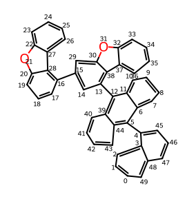 c1ccc2c(-c3c4ccccc4c(-c4cc(-c5cccc6oc7ccccc7c56)cc5oc6ccccc6c45)c4ccccc34)cccc2c1